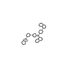 c1cc(-c2ccc(N(c3ccc(-c4cccc5ccccc45)cc3)c3cccc4ccccc34)cc2)cc(-c2cc3ccccc3o2)c1